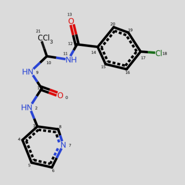 O=C(Nc1cccnc1)NC(NC(=O)c1ccc(Cl)cc1)C(Cl)(Cl)Cl